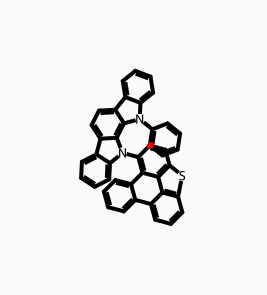 c1ccc(-n2c3ccccc3c3ccc4c5ccccc5n(-c5ccc6sc7cccc8c9ccccc9c5c6c78)c4c32)cc1